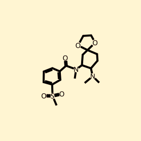 CN(C)C1CCC2(CC1N(C)C(=O)c1cccc(S(C)(=O)=O)c1)OCCO2